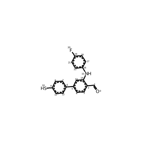 O=Cc1ccc(-c2ccc(S)cc2)cc1Nc1ccc(F)cc1